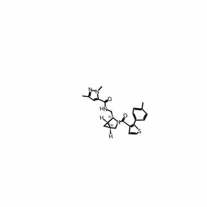 Cc1ccc(-c2sccc2C(=O)N2C[C@@H]3C[C@@H]3[C@H]2CNC(=O)c2cc(C)nn2C)cc1